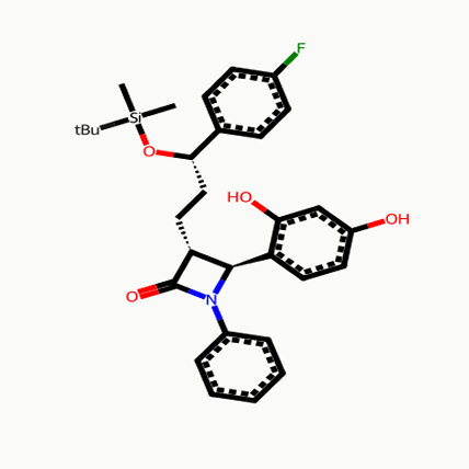 CC(C)(C)[Si](C)(C)O[C@@H](CC[C@H]1C(=O)N(c2ccccc2)[C@@H]1c1ccc(O)cc1O)c1ccc(F)cc1